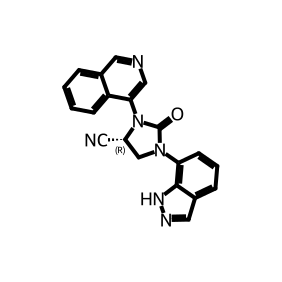 N#C[C@H]1CN(c2cccc3cn[nH]c23)C(=O)N1c1cncc2ccccc12